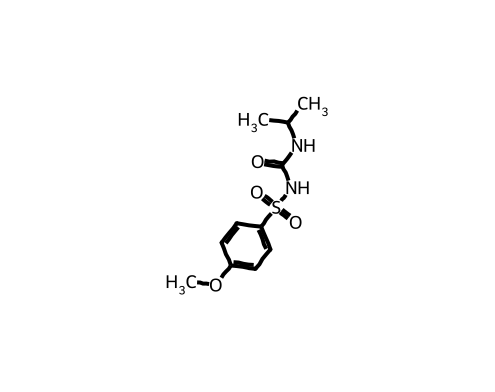 COc1ccc(S(=O)(=O)NC(=O)NC(C)C)cc1